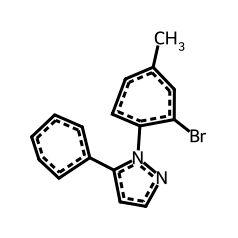 Cc1ccc(-n2nccc2-c2ccccc2)c(Br)c1